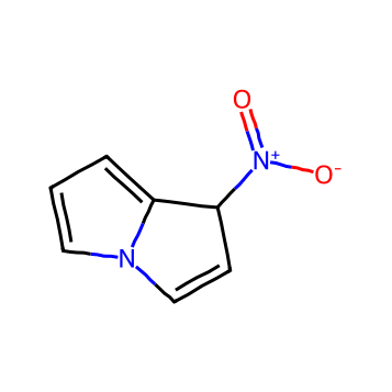 O=[N+]([O-])C1C=Cn2cccc21